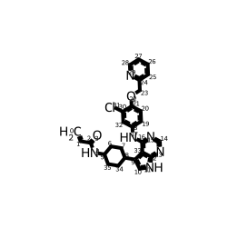 C=CC(=O)NC1CCC(c2c[nH]c3ncnc(Nc4ccc(OCc5ccccn5)c(Cl)c4)c23)CC1